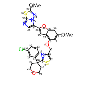 COc1cc(OCc2csc(C3(c4cccc(Cl)c4)CCOCC3)n2)c2cc(-c3cnc4sc(OC)nn34)oc2c1